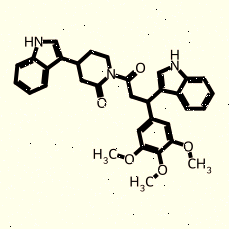 COc1cc(C(CC(=O)N2CCC(c3c[nH]c4ccccc34)CC2=O)c2c[nH]c3ccccc23)cc(OC)c1OC